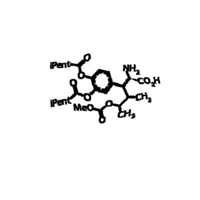 CCCC(C)C(=O)Oc1ccc(C(C(C)C(C)OC(=O)OC)[C@H](N)C(=O)O)cc1OC(=O)C(C)CCC